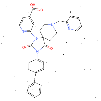 Cc1cccnc1CN1CCC2(CC1)C(=O)N(c1ccc(-c3ccccc3)cc1)C(=O)N2c1cc(C(=O)O)ccn1